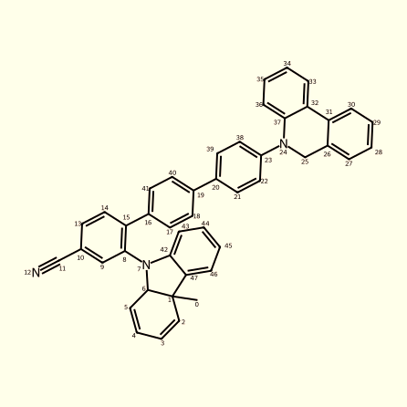 CC12C=CC=CC1N(c1cc(C#N)ccc1-c1ccc(-c3ccc(N4Cc5ccccc5-c5ccccc54)cc3)cc1)c1ccccc12